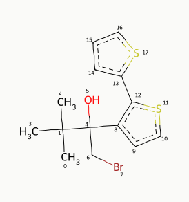 CC(C)(C)C(O)(CBr)c1ccsc1-c1cccs1